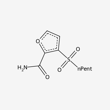 CCCCCS(=O)(=O)c1ccoc1C(N)=O